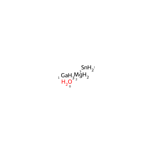 O.[GaH3].[MgH2].[SnH2]